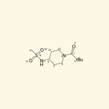 CC(C)(C)C(=O)N1CCC(NS(C)(=O)=O)CC1